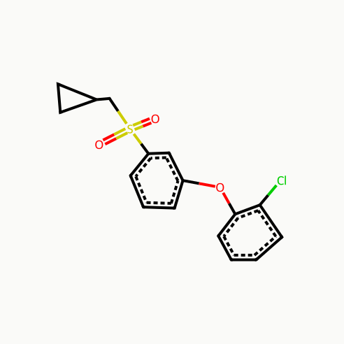 O=S(=O)(CC1CC1)c1cccc(Oc2ccccc2Cl)c1